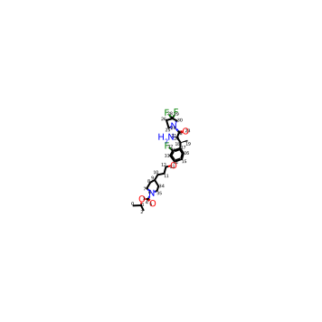 CC(C)OC(=O)N1CCC(CCCOc2ccc([C@H](C)[C@H](N)C(=O)N3CCC(F)(F)C3)c(F)c2)CC1